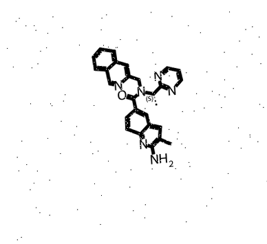 Cc1cc2cc(C(=O)N(Cc3cc4ccccc4cn3)[C@@H](C)c3ncccn3)ccc2nc1N